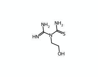 N=C(N)N(CCO)C(N)=S